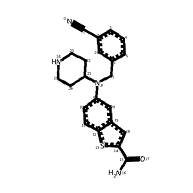 N#Cc1cccc(CN(c2ccc3sc(C(N)=O)cc3c2)C2CCNCC2)c1